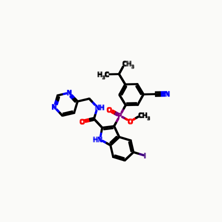 COP(=O)(c1cc(C#N)cc(C(C)C)c1)c1c(C(=O)NCc2ccncn2)[nH]c2ccc(I)cc12